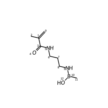 C=C(C)C(=O)NCCCNB(C)O